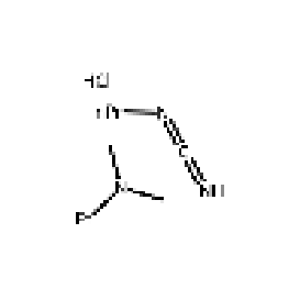 CCCN=C=N.CCN(C)C.Cl